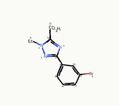 CCn1nc(-c2cccc(Br)c2)nc1C(=O)O